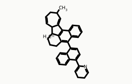 CC1C=C2c3c4c(c(-c5ccc(C6=CCCC=N6)c6ccccc56)c5ccccc35)CCC[C@@]4(C)C2C=CC1